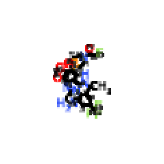 Cc1nc(N[C@H](C)c2cc(N)cc(C(F)(F)F)c2)c2cc(P3(=O)CCN(C(=O)CF)CC3)c3c(c2n1)OCO3